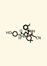 CC1(C)CCC2(CC1)N[C@@H](C(=O)N[C@H]1CC[C@H](O)CC1)[C@H](c1cccc(I)c1)[C@]21C(=O)Nc2cc(C#N)ccc21